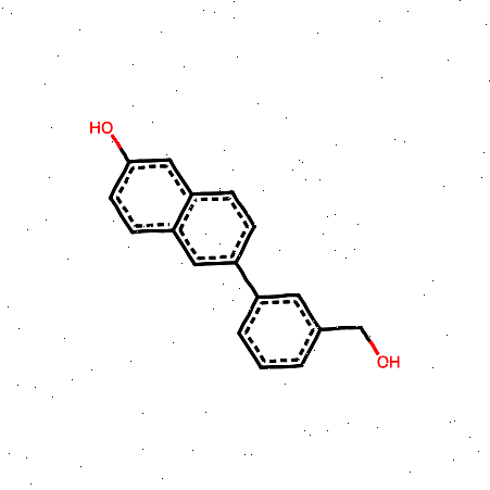 OCc1cccc(-c2ccc3cc(O)ccc3c2)c1